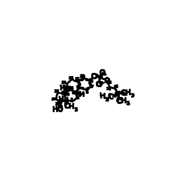 C[C@]12CC[C@@H]3c4ccc(OP(=O)([O-])OCC[N+](C)(C)C)cc4CC[C@H]3[C@@H]1CC[C@@H]2O